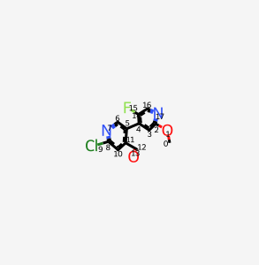 COc1cc(-c2cnc(Cl)cc2C=O)c(F)cn1